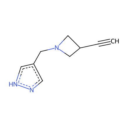 C#CC1CN(Cc2cn[nH]c2)C1